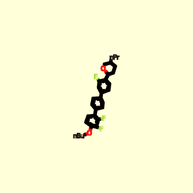 CCCCOc1ccc(-c2ccc(-c3ccc(C4CCC(CCC)CO4)c(F)c3)cc2)c(F)c1F